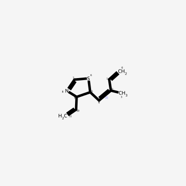 C=C/C(C)=C\C1SC=NC1C=C